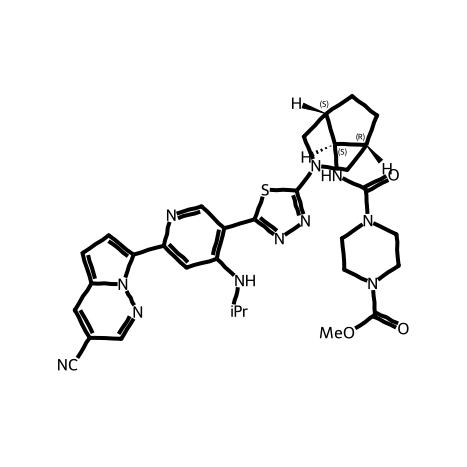 COC(=O)N1CCN(C(=O)N[C@@H]2[C@@H]3CC[C@H]2CN(c2nnc(-c4cnc(-c5ccc6cc(C#N)cnn56)cc4NC(C)C)s2)C3)CC1